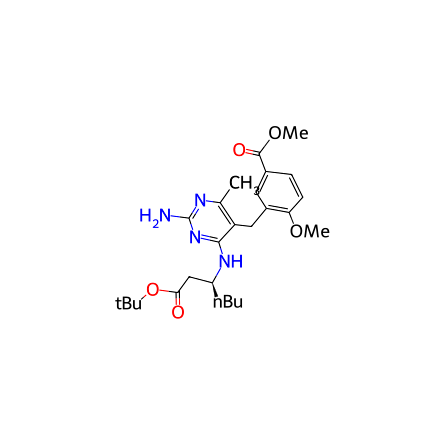 CCCC[C@@H](CC(=O)OC(C)(C)C)Nc1nc(N)nc(C)c1Cc1cc(C(=O)OC)ccc1OC